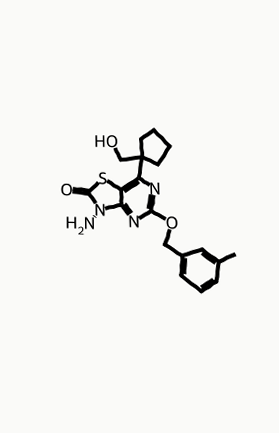 Cc1cccc(COc2nc(C3(CO)CCCC3)c3sc(=O)n(N)c3n2)c1